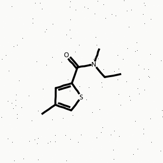 CCN(C)C(=O)c1cc(C)cs1